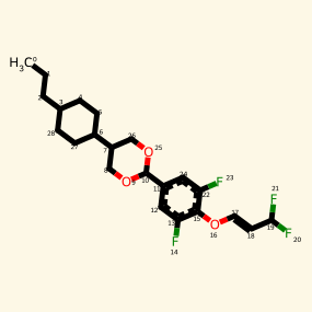 CCCC1CCC(C2COC(c3cc(F)c(O/C=C/C(F)F)c(F)c3)OC2)CC1